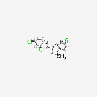 CC(C[CH]CCc1ccc(Cl)cc1Cl)c1ccc(Cl)cc1